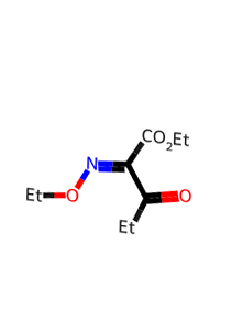 CCO/N=C(\C(=O)CC)C(=O)OCC